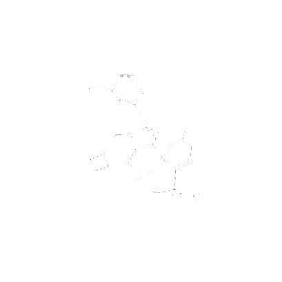 COc1cccc(-c2nnc(NS(=O)(=O)[C@@H](C)[C@H](OC)c3ncc(Cl)cn3)n2CC2CCC2)n1